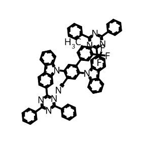 Cc1cc(-c2cc(-n3c4ccccc4c4ccc(-c5nc(-c6ccccc6)nc(-c6ccccc6)n5)cc43)c(C#N)cc2-n2c3ccccc3c3ccc(-c4nc(-c5ccccc5)nc(-c5ccccc5)n4)cc32)cc(C(F)(F)F)c1